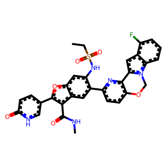 CCS(=O)(=O)Nc1cc2oc(-c3ccc(=O)[nH]c3)c(C(=O)NC)c2cc1-c1ccc2c(n1)-c1cc3c(F)cccc3n1CO2